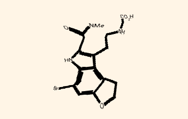 CNC(=O)c1[nH]c2c(Br)cc3c(c2c1CCNC(=O)O)CCO3